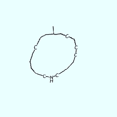 CC1CCCCCCCCNCCCCCCCC1